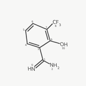 N=C(N)c1cccc(C(F)(F)F)c1O